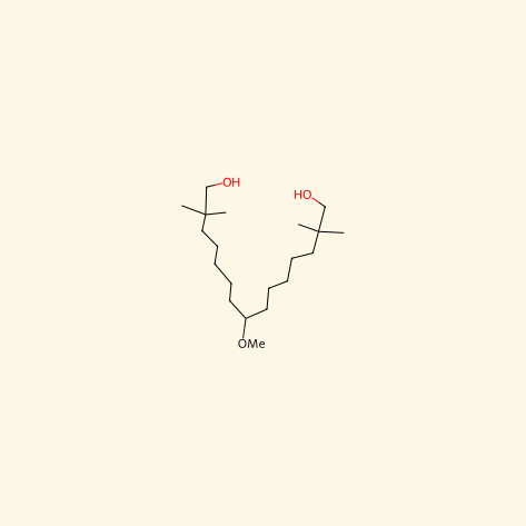 COC(CCCCCC(C)(C)CO)CCCCCC(C)(C)CO